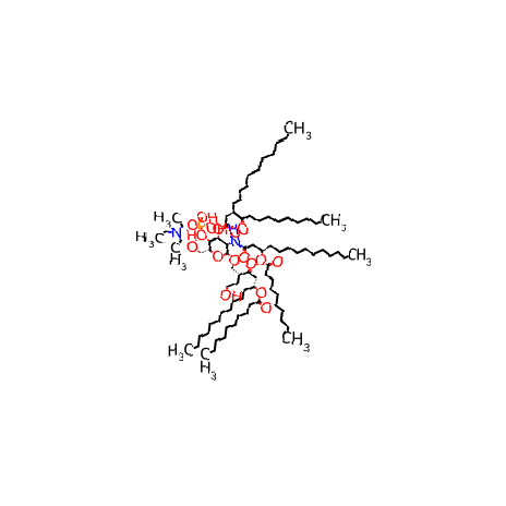 CCCCCCCCCCC[C@H](CC(=O)N[C@@H]1[C@@H](OC[C@@H](CCO)C(=O)C[C@@H](CCCCCCCCCCC)OC(=O)CCCCCCCCC)O[C@H](CO)[C@@H](OP(=O)(O)O)[C@@H]1OC(=O)C[C@@H](CCCCCCCCCCC)C(=O)CCCCCCCCC)OC(=O)CCCCCCCCC.CCN(CC)CC